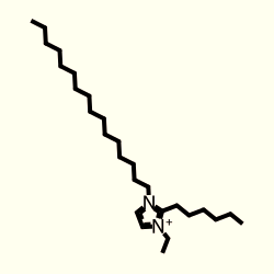 CCCCCCCCCCCCCCCCn1cc[n+](CC)c1CCCCCC